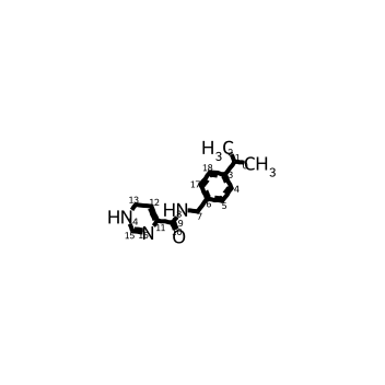 CC(C)c1ccc(CNC(=O)C2=CCNC=N2)cc1